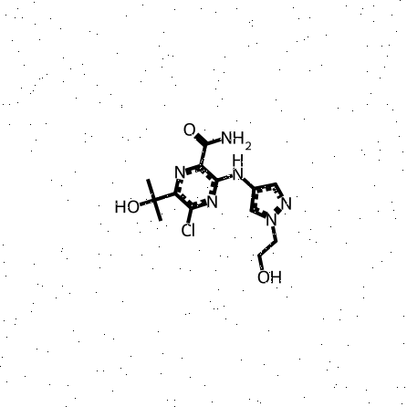 CC(C)(O)c1nc(C(N)=O)c(Nc2cnn(CCO)c2)nc1Cl